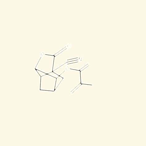 C=C(C)C(=C)OC1C2CC3C1OC(=O)C3(C#N)C2